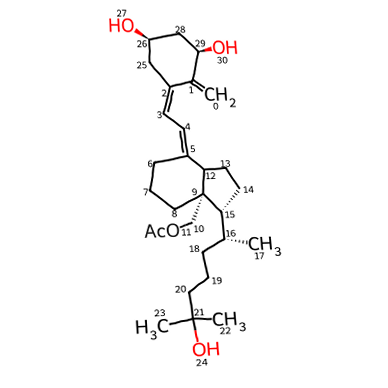 C=C1/C(=C\C=C2CCC[C@@]3(COC(C)=O)C2CC[C@@H]3[C@H](C)CCCC(C)(C)O)C[C@@H](O)C[C@H]1O